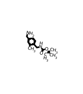 Cc1cc(CN)ccc1CNC(=O)OC(C)(C)C